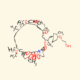 CO[C@H]1C[C@@H]2CC[C@@H](C)[C@@](O)(O2)C(=O)C(=O)N2CCCC[C@H]2C(=O)O[C@H]([C@H](C)C[C@@H]2CC[C@@H](OCCO)[C@H](C)C2)CC(=O)[C@H](C)/C=C(\C)[C@@H](O)[C@@H](C)C(=O)[C@H](C)C[C@H](C)/C=C/C=C/C=C/1C